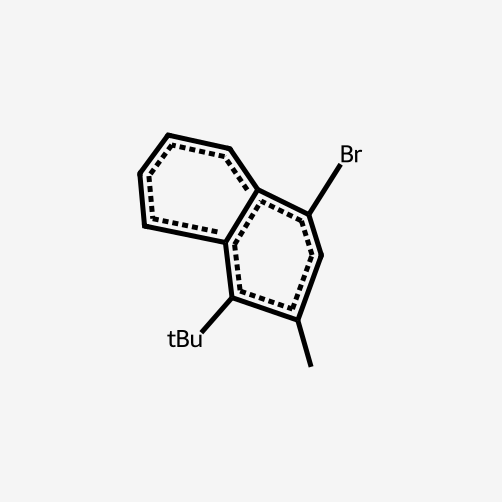 Cc1cc(Br)c2ccccc2c1C(C)(C)C